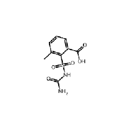 Cc1cccc(C(=O)O)c1S(=O)(=O)NC(N)=O